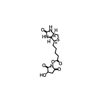 O=C1N[C@H]2[C@H](CS[C@H]2CCCCC(=O)ON2C(=O)CC(O)C2=O)N1